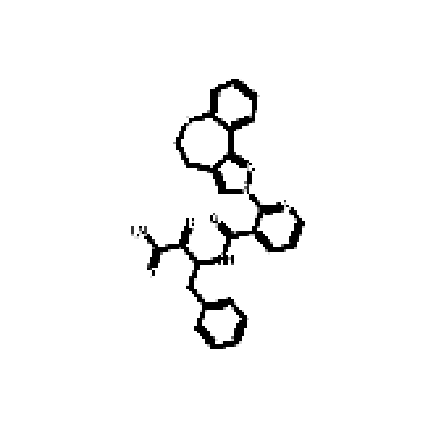 NC(=O)C(=O)C(Cc1ccccc1)NC(=O)c1cccnc1-n1cc2c(n1)-c1ccccc1OCC2